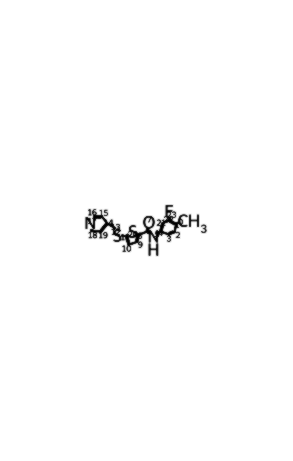 Cc1ccc(NC(=O)c2ccc(SCc3ccncc3)s2)cc1F